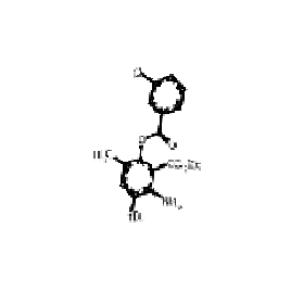 CCOC(=O)c1c(N)c(C(C)(C)C)cc(C)c1OC(=O)c1cccc(Cl)c1